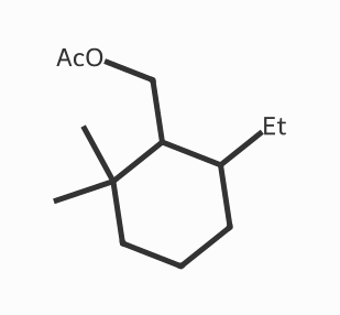 CCC1CCCC(C)(C)C1COC(C)=O